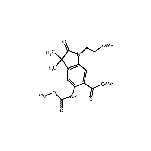 COCCN1C(=O)C(C)(C)c2cc(NC(=O)OC(C)(C)C)c(C(=O)OC)cc21